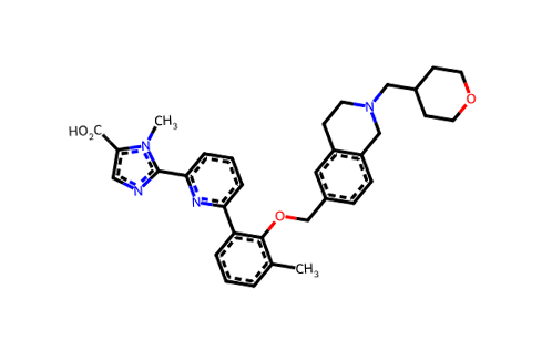 Cc1cccc(-c2cccc(-c3ncc(C(=O)O)n3C)n2)c1OCc1ccc2c(c1)CCN(CC1CCOCC1)C2